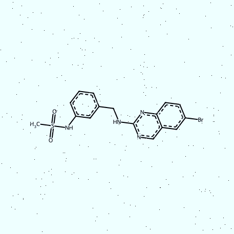 CS(=O)(=O)Nc1cccc(CNc2ncc3cc(Br)ccc3n2)c1